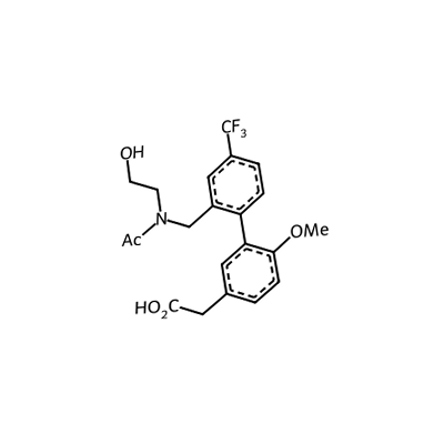 COc1ccc(CC(=O)O)cc1-c1ccc(C(F)(F)F)cc1CN(CCO)C(C)=O